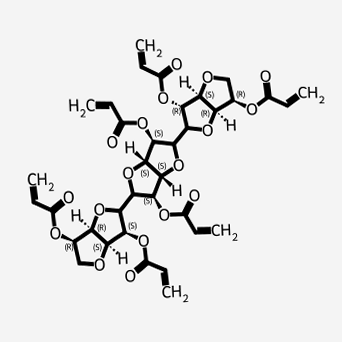 C=CC(=O)O[C@@H]1C(C2O[C@H]3[C@H](OC(C4O[C@H]5[C@H](OC[C@H]5OC(=O)C=C)[C@H]4OC(=O)C=C)[C@@H]3OC(=O)C=C)[C@H]2OC(=O)C=C)O[C@H]2[C@@H]1OC[C@H]2OC(=O)C=C